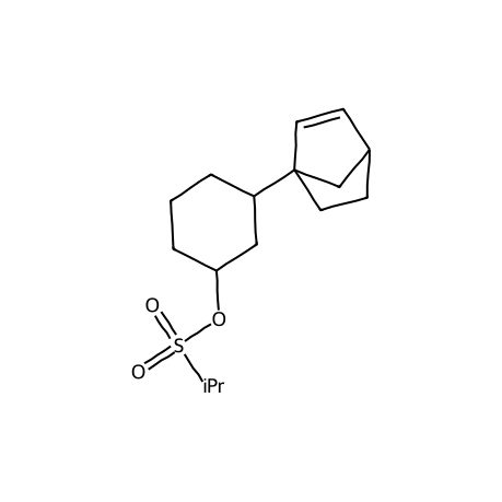 CC(C)S(=O)(=O)OC1CCCC(C23C=CC(CC2)C3)C1